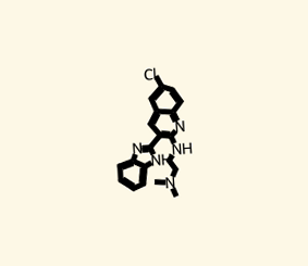 CN(C)CCNc1nc2ccc(Cl)cc2cc1-c1nc2ccccc2[nH]1